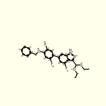 CCOC(OCC)c1n[nH]c2cc(-c3cc(F)c(OCc4ccccc4)cc3F)cc(F)c12